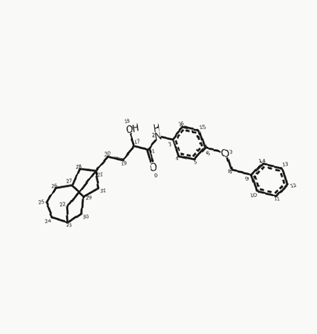 O=C(Nc1ccc(OCc2ccccc2)cc1)C(O)CCC12CC3CCCC(C1)C(C3)C2